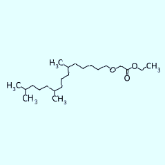 CCOC(=O)COCCCCCC(C)CCCC(C)CCCC(C)C